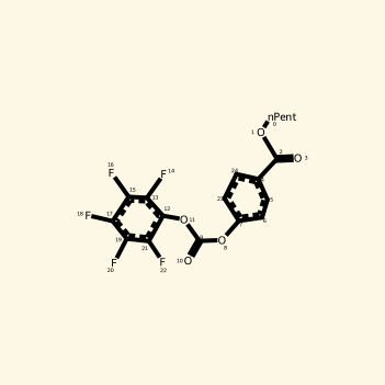 CCCCCOC(=O)c1ccc(OC(=O)Oc2c(F)c(F)c(F)c(F)c2F)cc1